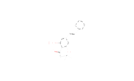 CC1(C)CC(=O)c2c(O)cc(C=Cc3ccccc3)cc2O1